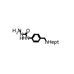 CCCCCCCCc1ccc(NC(=O)NN)cc1